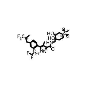 CCn1nc(C(=O)NC[C@@]2(O)CC[C@H](S(C)(=O)=O)C[C@@H]2O)c(C)c1-c1ccc(C[C@@H](C)C(F)(F)F)cc1OC(F)F